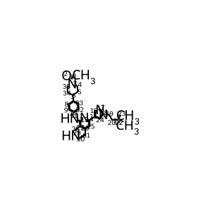 CC(=O)N1CCC(c2ccc(Nc3nc(-c4cnn(CCC(C)C)c4)cc4c3CNC=C4)cc2)CC1